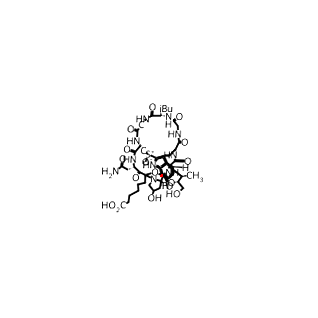 CC[C@H](C)[C@@H]1NC(=O)CNC(=O)C2Cc3c4[nH]c5cc(ccc35)OC(CCCCCC(=O)O)(C(=O)[C@H](CC(N)=O)NC(=O)C(C[S+]4[O-])NC(=O)CNC1=O)N1CC(O)C[C@H]1C(=O)N[C@@H]([C@@H](C)[C@@H](O)CO)C(=O)N2